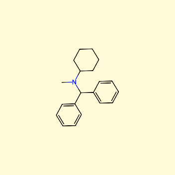 CN(C1CCCCC1)C(c1ccccc1)c1ccccc1